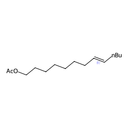 CCCC/C=C/CCCCCCCOC(C)=O